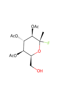 CC(=O)O[C@H]1[C@H](OC(C)=O)[C@@H](OC(C)=O)[C@](C)(F)O[C@H]1CO